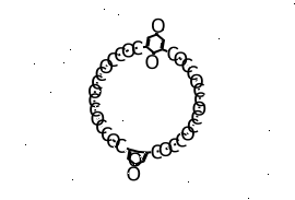 O=C1C=C2COCCOCCOCCOCCOCC3=CC(=O)C=C(COCCOCCOCCOCCOCC(=C1)C2=O)C3=O